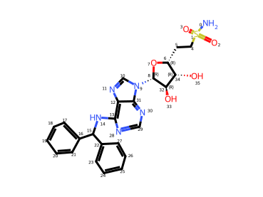 NS(=O)(=O)CC[C@H]1O[C@@H](n2cnc3c(NC(c4ccccc4)c4ccccc4)ncnc32)[C@H](O)[C@H]1O